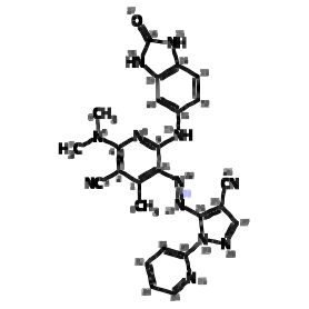 Cc1c(C#N)c(N(C)C)nc(Nc2ccc3[nH]c(=O)[nH]c3c2)c1/N=N/c1c(C#N)cnn1-c1ccccn1